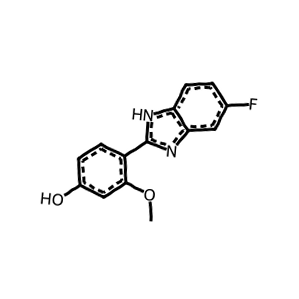 COc1cc(O)ccc1-c1nc2cc(F)ccc2[nH]1